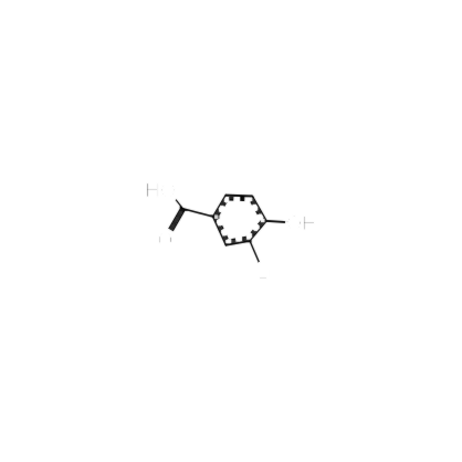 [Li][c]1cc(C(=O)O)ccc1O